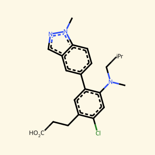 CC(C)CN(C)c1cc(Cl)c(CCC(=O)O)cc1-c1ccc2c(cnn2C)c1